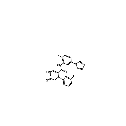 Cc1ccc(-n2cccc2)cc1NC(=O)C1=CNC(=O)CC1c1cccc(F)c1